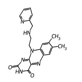 Cc1cc2nc3c(=O)[nH]c(=O)nc-3n(CCNCc3ccccn3)c2cc1C